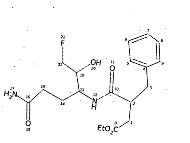 CCOC(=O)CC(Cc1ccccc1)C(=O)NC(CCC(N)=O)C(O)CF